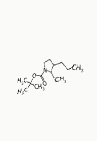 CCCC1CCN(C(=O)OC(C)(C)C)C1C